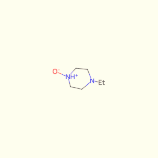 CCN1CC[NH+]([O-])CC1